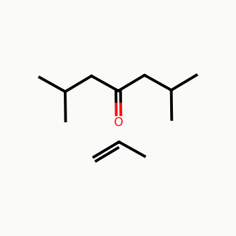 C=CC.CC(C)CC(=O)CC(C)C